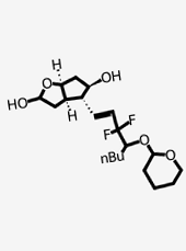 CCCCC(OC1CCCCO1)C(F)(F)/C=C/[C@@H]1[C@H]2CC(O)O[C@H]2C[C@H]1O